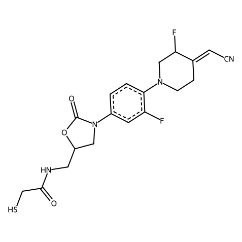 N#CC=C1CCN(c2ccc(N3CC(CNC(=O)CS)OC3=O)cc2F)CC1F